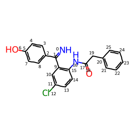 N=C(c1ccc(O)cc1)c1cc(Cl)ccc1NC(=O)Cc1ccccc1